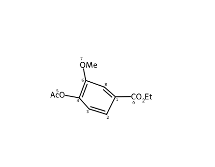 CCOC(=O)c1ccc(OC(C)=O)c(OC)c1